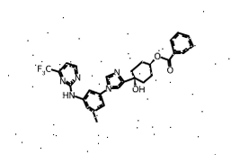 Cc1cc(Nc2nccc(C(F)(F)F)n2)cc(-n2cnc([C@]3(O)CC[C@@H](OC(=O)c4ccccc4)CC3)c2)c1